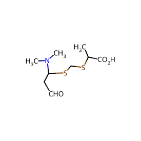 CC(SCSC(CC=O)N(C)C)C(=O)O